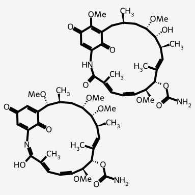 COC1=C2C[C@@H](C)C[C@H](OC)[C@H](O)[C@@H](C)/C=C(\C)[C@H](OC(N)=O)[C@@H](OC)/C=C\C=C(/C)C(=O)NC(=CC1=O)C2=O.CO[C@H]1[C@@H](OC)C[C@H](C)[C@@H](OC)C2=CC(=O)C=C(N=C(O)/C(C)=C/C=C\[C@H](OC)[C@@H](OC(N)=O)/C(C)=C/[C@@H]1C)C2=O